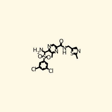 Cc1ncc(CNC(=O)c2cnc(C(N)S(=O)(=O)c3cc(Cl)cc(Cl)c3)c(C)n2)s1